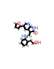 O=C1Nc2ncc(-c3ccco3)cc2/C1=C\Nc1ccccc1CCO